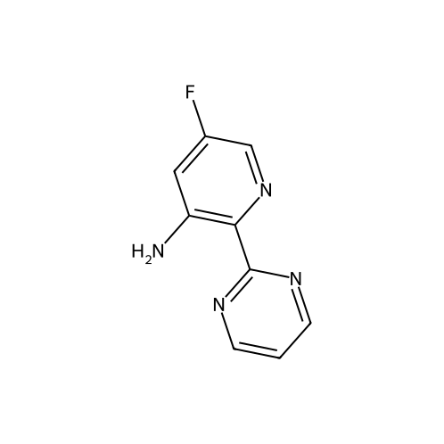 Nc1cc(F)cnc1-c1ncccn1